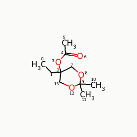 CCC1(OC(C)=O)COC(C)(C)OC1